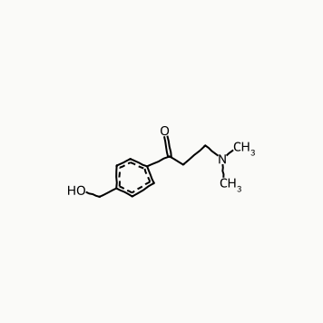 CN(C)CCC(=O)c1ccc(CO)cc1